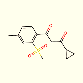 Cc1ccc(C(=O)CC(=O)C2CC2)c(S(C)(=O)=O)c1